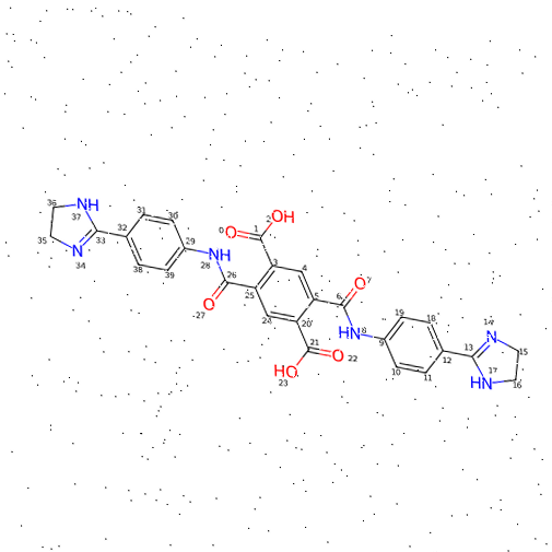 O=C(O)c1cc(C(=O)Nc2ccc(C3=NCCN3)cc2)c(C(=O)O)cc1C(=O)Nc1ccc(C2=NCCN2)cc1